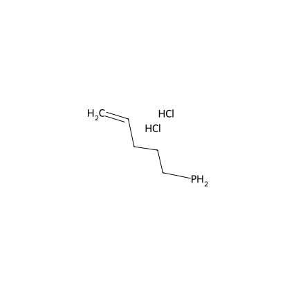 C=CCCCP.Cl.Cl